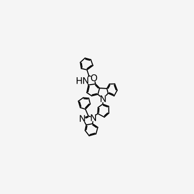 c1ccc(-c2nc3ccccc3n2-c2cccc(-n3c4ccccc4c4c5c(ccc43)NC(c3ccccc3)O5)c2)cc1